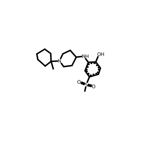 CC1(N2CCC(Nc3cc(S(C)(=O)=O)ccc3O)CC2)CCCCC1